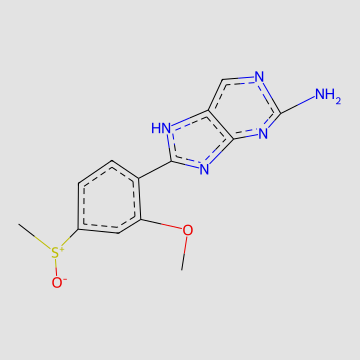 COc1cc([S+](C)[O-])ccc1-c1nc2nc(N)ncc2[nH]1